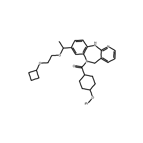 CC(C)OC1CCC(C(=O)N2Cc3cccnc3Nc3ccc(C(C)OCCOC4CCC4)cc32)CC1